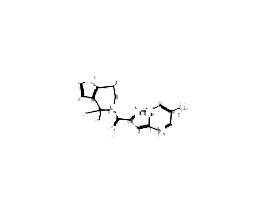 CC1(C)c2ccsc2CCN1C(=O)c1cc2ncc(Br)cn2n1